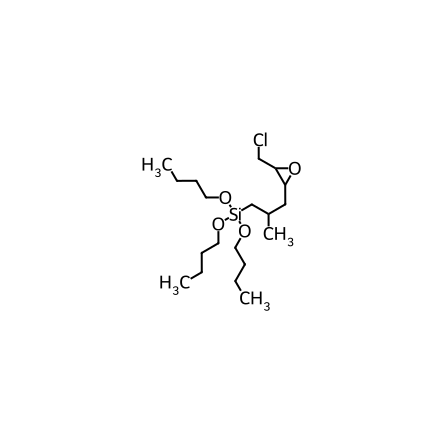 CCCCO[Si](CC(C)CC1OC1CCl)(OCCCC)OCCCC